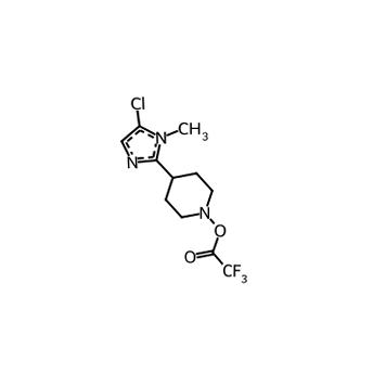 Cn1c(Cl)cnc1C1CCN(OC(=O)C(F)(F)F)CC1